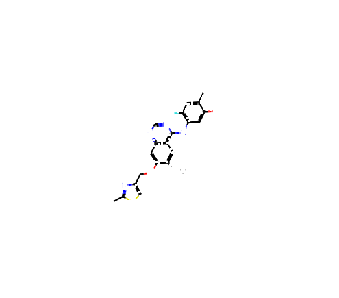 COc1cc2c(Nc3cc(O)c(C)cc3F)ncnc2cc1OCc1csc(C)n1